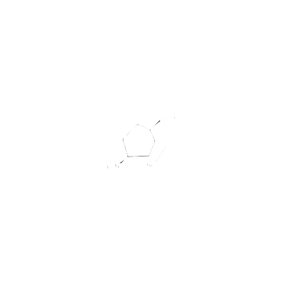 CC#N.N[C@H]1CC[C@@H](C(=O)O)CC1